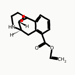 C=COC(=O)c1cccc2c1C[C@H]1NCC[C@@]23CCCC[C@@H]13